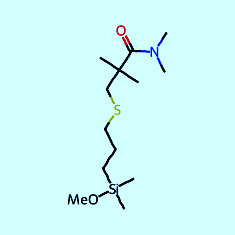 CO[Si](C)(C)CCCSCC(C)(C)C(=O)N(C)C